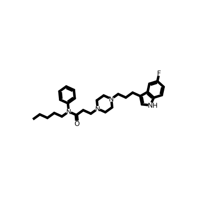 CCCCCN(C(=O)CCN1CCN(CCCc2c[nH]c3ccc(F)cc23)CC1)c1ccccc1